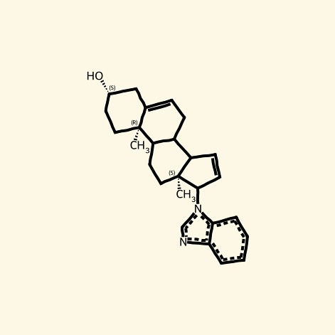 C[C@]12CCC3C(CC=C4C[C@@H](O)CC[C@@]43C)C1C=CC2n1cnc2ccccc21